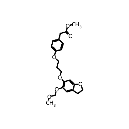 COCOc1cc2c(cc1OCCCOc1ccc(CC(=O)OC)cc1)OCC2